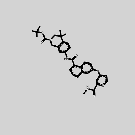 CNC(=O)c1cc(Oc2ccc3c(C(=O)Nc4ccc5c(c4)CN(C(=O)OC(C)(C)C)CC5(C)C)cccc3c2)ccn1